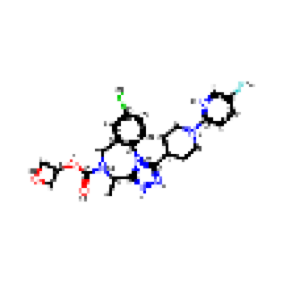 CC1c2nnc(C3CCN(c4ccc(F)cn4)CC3)n2-c2ccc(Cl)cc2CN1C(=O)OC1COC1